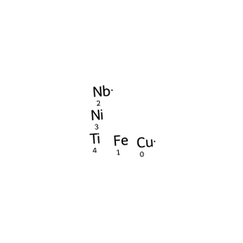 [Cu].[Fe].[Nb].[Ni].[Ti]